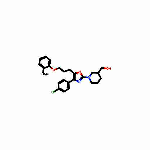 COc1ccccc1OCCCc1oc(N2CCCC(CO)C2)nc1-c1ccc(Cl)cc1